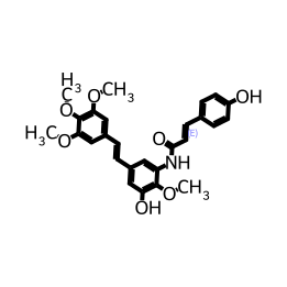 COc1cc(C=Cc2cc(O)c(OC)c(NC(=O)/C=C/c3ccc(O)cc3)c2)cc(OC)c1OC